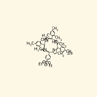 CCOP(=O)(OCC)c1ccc(-c2c3nc(c(-c4c(C)cc(C)cc4C)c4ccc([nH]4)c(-c4c(C)cc(C)cc4C)c4nc(c(-c5c(C)cc(C)cc5C)c5ccc2[nH]5)C=C4)C=C3)cc1.[Zn]